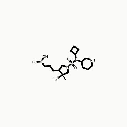 C[C@]1(N)CN(S(=O)(=O)N(C2CCC2)C2CCCNC2)C[C@@H]1CCCB(O)O